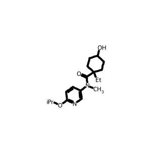 CCC1(C(=O)N(C)c2ccc(OC(C)C)nc2)CCC(O)CC1